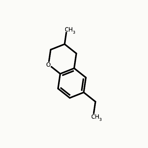 CCc1ccc2c(c1)CC(C)CO2